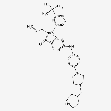 C=CCn1c(=O)c2cnc(Nc3ccc(N4CCN(CC5CCNCC5)CC4)cc3)nc2n1-c1cccc(C(C)(C)O)n1